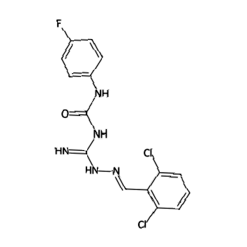 N=C(NN=Cc1c(Cl)cccc1Cl)NC(=O)Nc1ccc(F)cc1